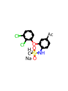 CC(=O)c1ccc(NS(C)(=O)=O)c(Oc2cccc(Cl)c2Cl)c1.[Na]